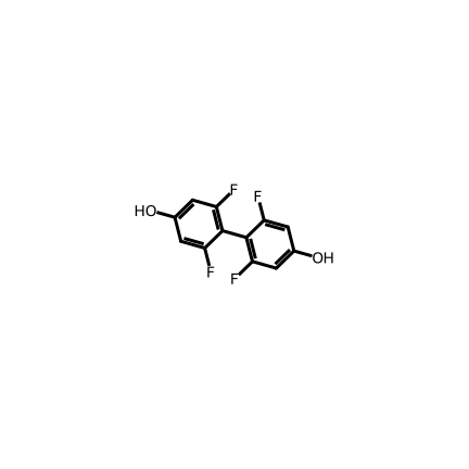 Oc1cc(F)c(-c2c(F)cc(O)cc2F)c(F)c1